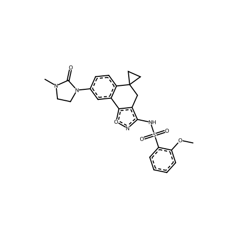 COc1ccccc1S(=O)(=O)Nc1noc2c1CC1(CC1)c1ccc(N3CCN(C)C3=O)cc1-2